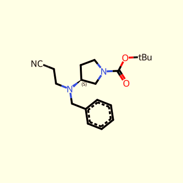 CC(C)(C)OC(=O)N1CC[C@H](N(CCC#N)Cc2ccccc2)C1